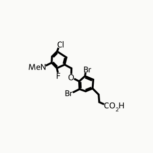 CNc1cc(Cl)cc(COc2c(Br)cc(CCC(=O)O)cc2Br)c1F